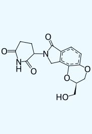 O=C1CCC(N2Cc3c(ccc4c3O[C@H](CO)CO4)C2=O)C(=O)N1